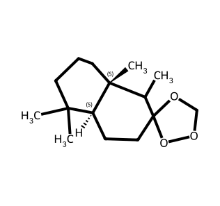 CC1C2(CC[C@H]3C(C)(C)CCC[C@]13C)OCOO2